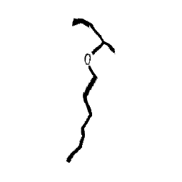 C=CC(C)OCCCCCC